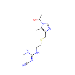 CN/C(=N\C#N)NCCSCc1ncn(C(C)=O)c1C